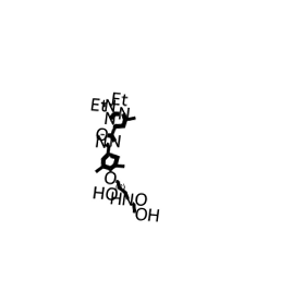 CCN(CC)c1nc(C)cc(-c2nc(-c3cc(C)c(OC[C@H](O)CNC(=O)CO)c(C)c3)no2)n1